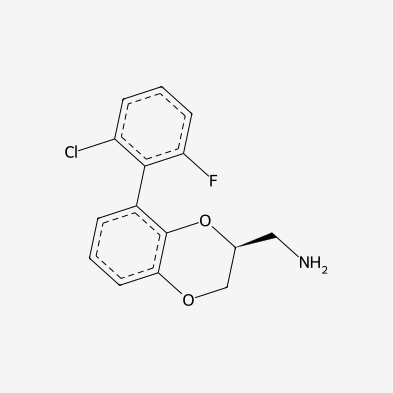 NC[C@H]1COc2cccc(-c3c(F)cccc3Cl)c2O1